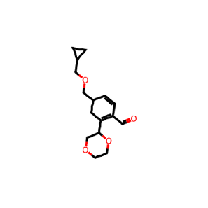 O=CC1=C(C2COCCO2)CC(COCC2CC2)C=C1